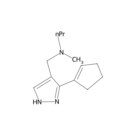 CCCN(C)Cc1c[nH]nc1C1=CCCC1